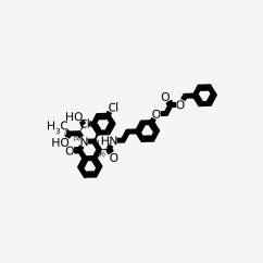 C[C@H](O)[C@H](CO)N1C(=O)c2ccccc2[C@@H](C(=O)NCCc2cccc(OCC(=O)OCc3ccccc3)c2)[C@@H]1c1ccc(Cl)cc1Cl